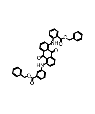 O=C(OCc1ccccc1)c1cccc(Nc2cccc3c2C(=O)c2cccc(Nc4ccccc4C(=O)OCc4ccccc4)c2C3=O)c1